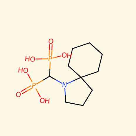 O=P(O)(O)C(N1CCCC12CCCCC2)P(=O)(O)O